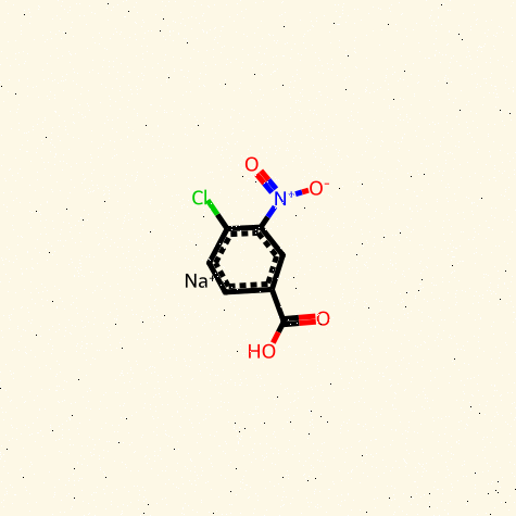 O=C(O)c1ccc(Cl)c([N+](=O)[O-])c1.[Na+]